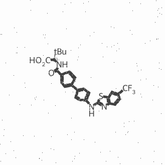 CC(C)(C)[C@H](NC(=O)c1ccc(-c2ccc(Nc3nc4ccc(C(F)(F)F)cc4s3)cc2)cc1)C(=O)O